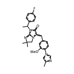 COc1cc(/C=c2/c(=O)n(C(C)c3ccc(F)cc3)c3n2CC(C)(C)N=3)ccc1-n1cnc(C)c1